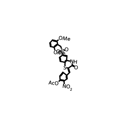 COc1cccc(OC)c1CS(=O)(=O)c1ccc2c(c1)NC(=O)C(=Cc1ccc(OC(C)=O)c([N+](=O)[O-])c1)S2